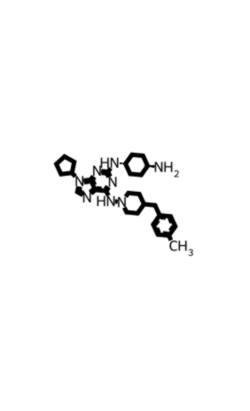 Cc1ccc(CC2CCN(Nc3nc(N[C@H]4CC[C@H](N)CC4)nc4c3ncn4C3CCCC3)CC2)cc1